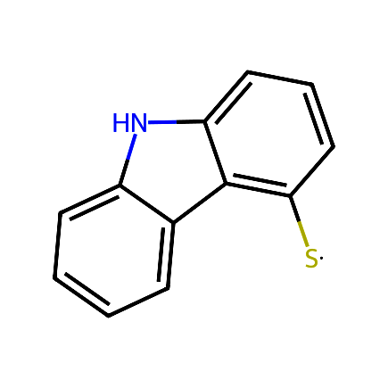 [S]c1cccc2[nH]c3ccccc3c12